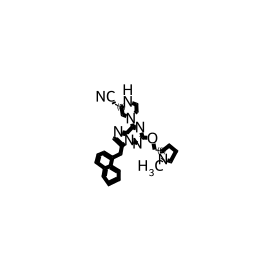 CN1CCC[C@H]1COc1nc(N2CCN[C@@H](CC#N)C2)c2ncc(Cc3cccc4ccccc34)n2n1